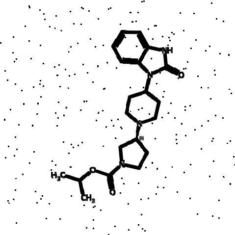 CC(C)OC(=O)N1CC[C@H](N2CCC(n3c(=O)[nH]c4ccccc43)CC2)C1